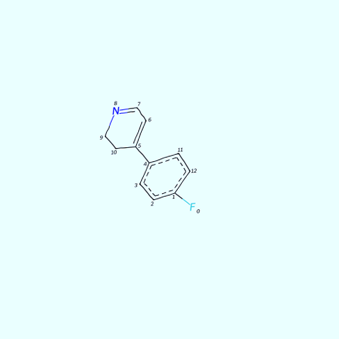 Fc1ccc(C2=CC=NCC2)cc1